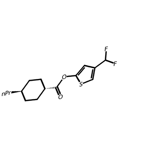 CCC[C@H]1CC[C@H](C(=O)Oc2cc(C(F)F)cs2)CC1